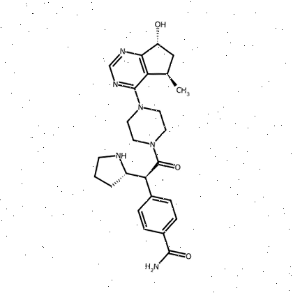 C[C@@H]1C[C@@H](O)c2ncnc(N3CCN(C(=O)[C@@H](c4ccc(C(N)=O)cc4)[C@@H]4CCCN4)CC3)c21